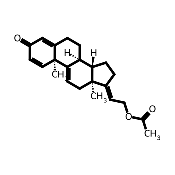 CC(=O)OCC=C1CC[C@H]2[C@@H]3CCC4=CC(=O)C=C[C@]4(C)C3=CC[C@]12C